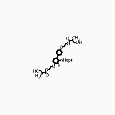 C=C(CO)C(=O)OCCOc1ccc(-c2ccc(OCCOC(=O)C(=C)CO)c(F)c2CCCCCCC)cc1